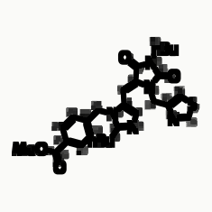 CCCCc1ncc(/C=C2/C(=O)N(CCCC)C(=O)N2Cc2cscn2)n1Cc1ccc(C(=O)OC)cc1